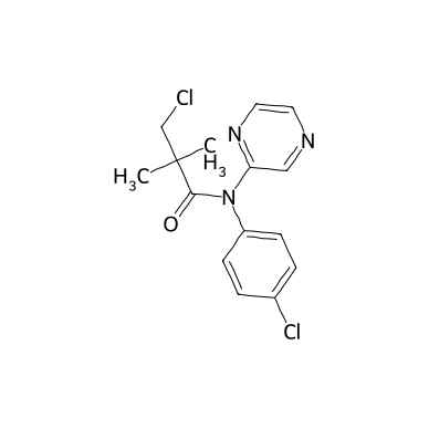 CC(C)(CCl)C(=O)N(c1ccc(Cl)cc1)c1cnccn1